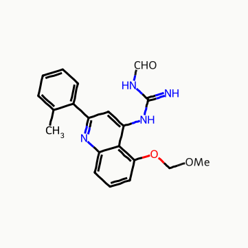 COCOc1cccc2nc(-c3ccccc3C)cc(NC(=N)NC=O)c12